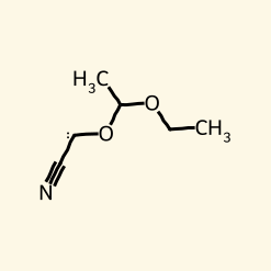 CCOC(C)O[C]C#N